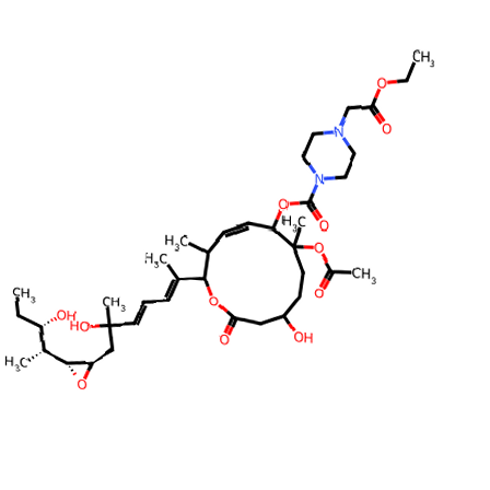 CCOC(=O)CN1CCN(C(=O)OC2C=CC(C)C(/C(C)=C/C=C/C(C)(O)C[C@H]3O[C@@H]3[C@H](C)[C@@H](O)CC)OC(=O)CC(O)CCC2(C)OC(C)=O)CC1